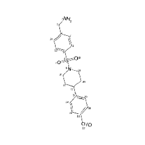 NCc1ccc(S(=O)(=O)N2CCC(c3ccc(C=O)cc3)CC2)cc1